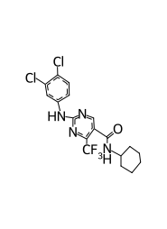 O=C(NC1CCCCC1)c1cnc(Nc2ccc(Cl)c(Cl)c2)nc1C(F)(F)F